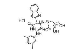 Cc1cc(Nc2nc(N[C@@H]3C[C@H](CO)[C@@H](O)[C@H]3O)c(-c3nc4ccccc4s3)c(=O)[nH]2)cc(C)n1.Cl